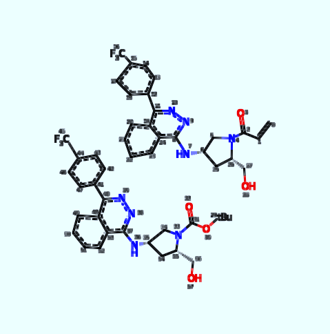 C=CC(=O)N1C[C@@H](Nc2nnc(-c3ccc(C(F)(F)F)cc3)c3ccccc23)C[C@H]1CO.CC(C)(C)OC(=O)N1C[C@@H](Nc2nnc(-c3ccc(C(F)(F)F)cc3)c3ccccc23)C[C@H]1CO